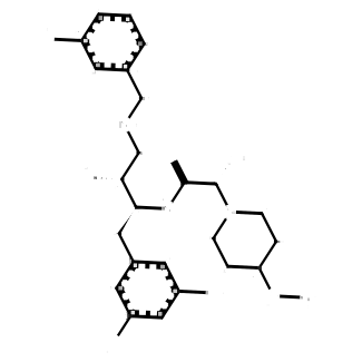 CCCC[C@@H](C(=O)N[C@@H](Cc1cc(F)cc(F)c1)[C@H](O)CNCc1cccc(CC)c1)N1CCC(OCCC)CC1